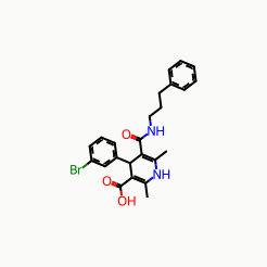 CC1=C(C(=O)O)C(c2cccc(Br)c2)C(C(=O)NCCCc2ccccc2)=C(C)N1